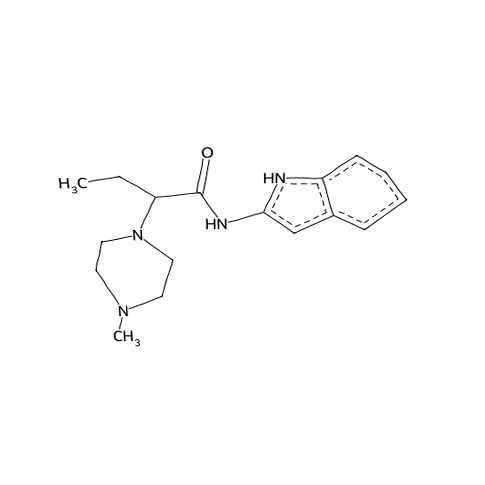 CCC(C(=O)Nc1cc2ccccc2[nH]1)N1CCN(C)CC1